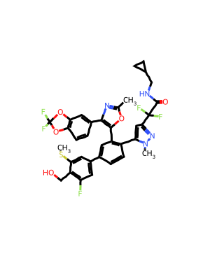 CSc1cc(-c2ccc(-c3cc(C(F)(F)C(=O)NCC4CC4)nn3C)c(-c3oc(C)nc3-c3ccc4c(c3)OC(F)(F)O4)c2)cc(F)c1CO